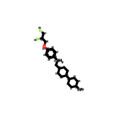 CCCC1CCC(C2CCC(C[SiH2]c3ccc(OCC(F)CF)cc3)CC2)CC1